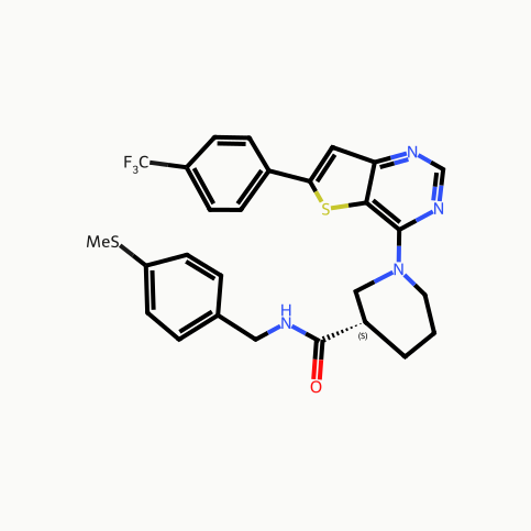 CSc1ccc(CNC(=O)[C@H]2CCCN(c3ncnc4cc(-c5ccc(C(F)(F)F)cc5)sc34)C2)cc1